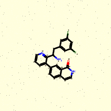 NC(Cc1cc(F)cc(F)c1)c1ncccc1-c1ccc2cc[nH]c(=O)c2c1